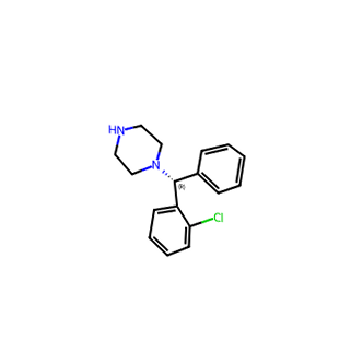 Clc1ccccc1[C@@H](c1ccccc1)N1CCNCC1